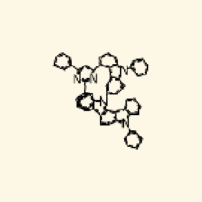 c1ccc(-c2cc(-c3cccc4c3c3cc(-n5c6ccccc6c6ccc7c(c8ccccc8n7-c7ccccc7)c65)ccc3n4-c3ccccc3)nc(-c3ccccc3)n2)cc1